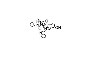 C=CCN1CC(=O)N2C(Cc3ccc(O)cc3)C(=O)N(Cc3cn(C)c4ccccc34)CC2N1C(=O)NCc1ccccc1